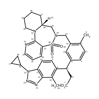 Cc1ccc([C@@H](CC(=O)O)c2ccc3c(nnn3C3CC3)c2C)cc1CN1C[C@H]2CCCCN2c2ncccc2S1(=O)=O